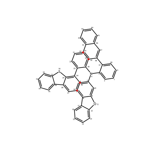 c1ccc(N(c2ccc3c(c2)oc2ccccc23)c2ccccc2-c2cccc3c2sc2ccccc23)c(-c2ccc3ccccc3c2)c1